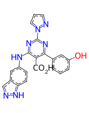 O=C(O)c1c(Nc2ccc3[nH]ncc3c2)nc(-n2cccn2)nc1-c1cccc(O)c1